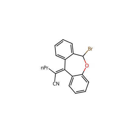 CCCC(C#N)=C1c2ccccc2OC(Br)c2ccccc21